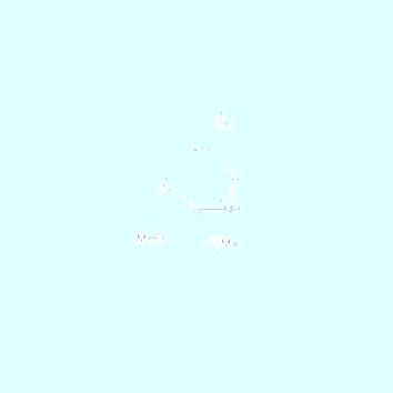 COP(=O)(OC)C(NC(=O)OC(C)(C)C)C(C)=O